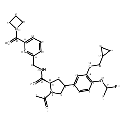 CC(=O)N1CC(c2ccc(OC(F)F)c(OCC3CC3)c2)C[C@@H]1C(=O)NCc1cccc(C(=O)N2CCC2)n1